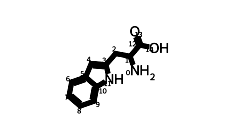 NC(Cc1cc2ccccc2[nH]1)C(=O)O